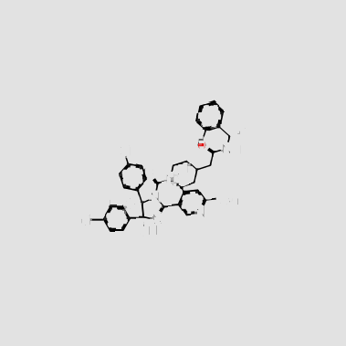 CCOc1cc(C(C)(C)C)ncc1C1=N[C@@](C)(c2ccc(Cl)cc2)[C@@](C)(c2ccc(Cl)cc2)N1C(=O)N1CCC(CC(=O)N[C@@H](C)c2ccccc2F)CC1